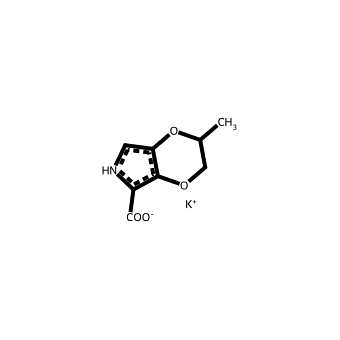 CC1COc2c(c[nH]c2C(=O)[O-])O1.[K+]